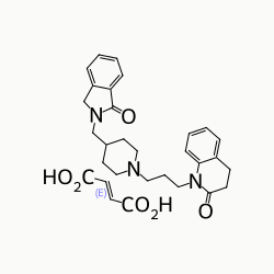 O=C(O)/C=C/C(=O)O.O=C1c2ccccc2CN1CC1CCN(CCCN2C(=O)CCc3ccccc32)CC1